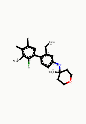 COc1c(C)c(C)cc(-c2ccc(NC3(C(=O)O)CCOCC3)cc2COCC(C)C)c1F